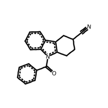 N#CC1CCc2c(c3ccccc3n2C(=O)c2ccccc2)C1